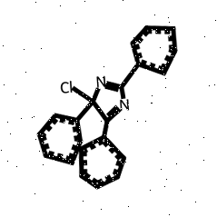 ClC1(c2ccccc2)N=C(c2ccccc2)N=C1c1ccccc1